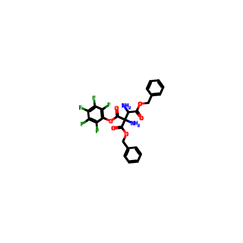 NC(C(=O)OCc1ccccc1)C(N)(C(=O)OCc1ccccc1)C(=O)Oc1c(F)c(F)c(F)c(F)c1F